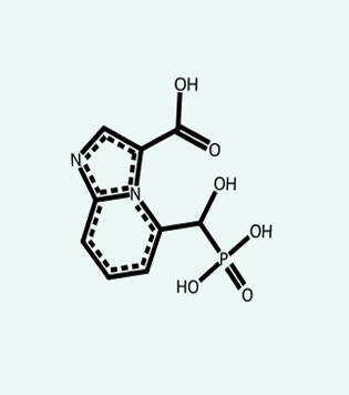 O=C(O)c1cnc2cccc(C(O)P(=O)(O)O)n12